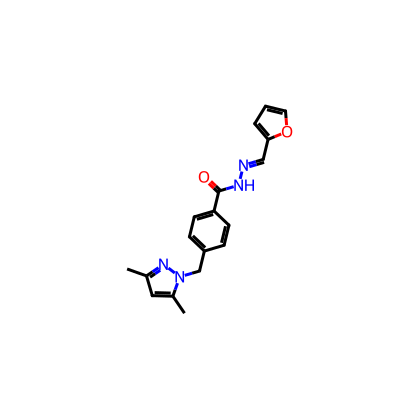 Cc1cc(C)n(Cc2ccc(C(=O)N/N=C/c3ccco3)cc2)n1